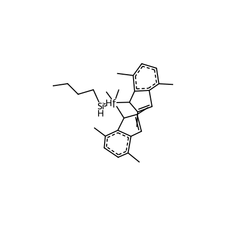 CCCC[SiH]=[Hf]([CH3])([CH3])([CH]1C(C)=Cc2c(C)ccc(C)c21)[CH]1C(C)=Cc2c(C)ccc(C)c21